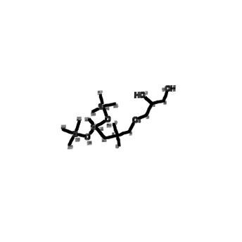 CC(C)(COCC(O)CO)C[Si](C)(O[Si](C)(C)C)O[Si](C)(C)C